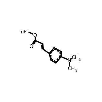 CCCOC(=O)/C=C/c1ccc(N(C)C)cc1